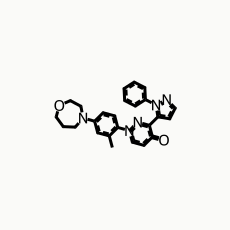 Cc1cc(N2CCCOCC2)ccc1-n1ccc(=O)c(-c2ccnn2-c2ccccc2)n1